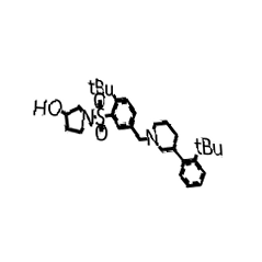 CC(C)(C)c1ccccc1C1CCCN(Cc2ccc(C(C)(C)C)c(S(=O)(=O)N3CCC(O)C3)c2)C1